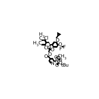 C=C/C(Cl)=C(C[C@H](OC(=O)COC(=O)c1ccnc(N(C(=O)OC(C)(C)C)S(C)(=O)=O)c1)c1ccc(OC(F)F)c(OCC2CC2)c1)\C(Cl)=C/C